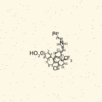 O=C(O)c1ccc2c(c1)CCCC(c1cc(C(F)(F)F)ccc1Cl)=C2c1ccc(C=C2CN(CCCF)C2)cc1